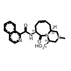 CN1C[C@@H]2CC=CC[C@H](NC(=O)c3nccc4ccccc34)C(=O)N2[C@H](C(=O)O)C1